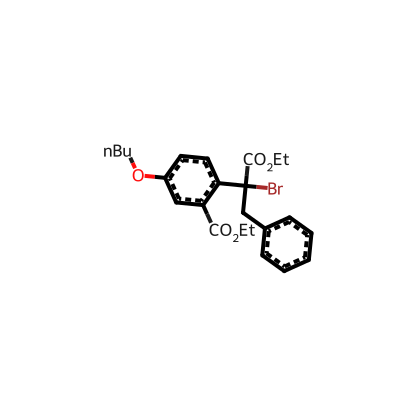 CCCCOc1ccc(C(Br)(Cc2ccccc2)C(=O)OCC)c(C(=O)OCC)c1